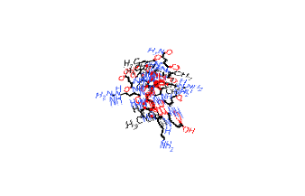 CCC(C)C(NC(=O)C(CCCNC(=N)N)NC(=O)C(C)NC(=O)C(CCC(N)=O)NC(=O)C(N)CC(C)C)C(=O)NC(CC(C)C)C(=O)NC(C)C(=O)NC(C(=O)NC(CCC(=O)O)C(=O)NC(CCCNC(=N)N)C(=O)NC(Cc1ccc(O)cc1)C(=O)NC(CC(C)C)C(=O)NC(CCCCN)C(=O)NC(CC(=O)O)C(=O)NC(CCC(N)=O)C(=O)NC(CCC(N)=O)C(=O)NC(CC(C)C)C(N)=O)C(C)C